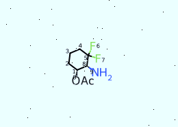 CC(=O)O[C@H]1CCCC(F)(F)[C@H]1N